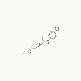 CCOCCOCC(I)Sc1ccc(Cl)cc1